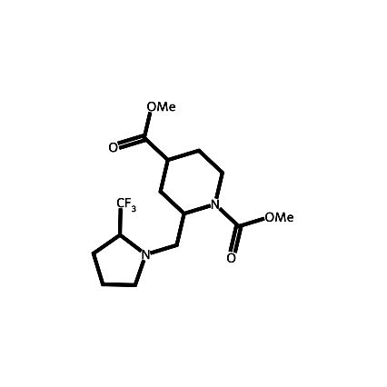 COC(=O)C1CCN(C(=O)OC)C(CN2CCCC2C(F)(F)F)C1